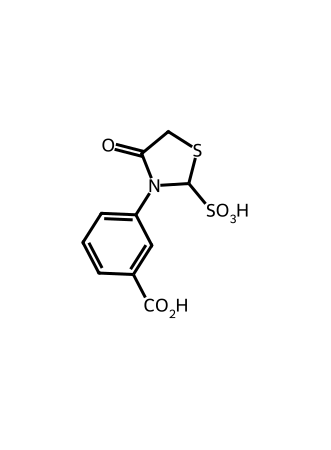 O=C(O)c1cccc(N2C(=O)CSC2S(=O)(=O)O)c1